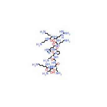 N=C(N)NCC/C=C(\NC(=O)[C@H](CCCCN)NC(=O)C(Cc1cnc[nH]1)NC(=O)[C@@H]1CCCN1C(=O)[C@@H](CCCN)NC(=O)CNC(=O)[C@H](CCCN)NC(=O)[C@@H](NC(=O)C(N)CCCCN)[C@@H](O)CN)C(=O)N[C@@H](CCCCN)C(=O)NCCCCN